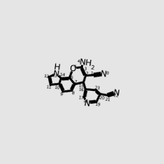 N#CC1=C(N)Oc2c(ccc3cc[nH]c23)C1c1cncc(C#N)c1